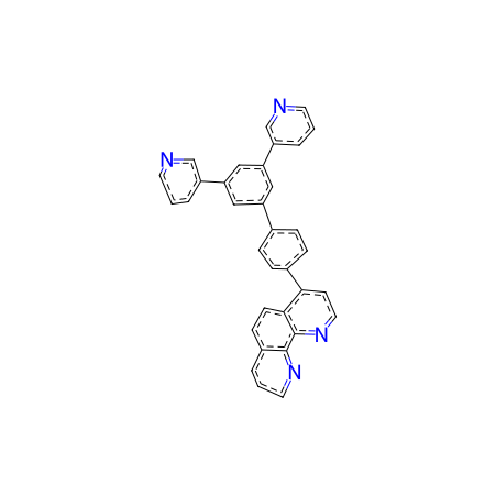 c1cncc(-c2cc(-c3ccc(-c4ccnc5c4ccc4cccnc45)cc3)cc(-c3cccnc3)c2)c1